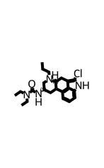 CCCN1C[C@@H](NC(=O)N(CC)CC)CC2c3cccc4[nH]c(Cl)c(c34)C[C@H]21